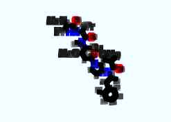 CCC(C)C(C(CC(=O)N1CCC[C@H]1C(OC)C(C)C(=O)NC(C)Cc1ccccc1C)OC)N(C)C(=O)C(NC(=O)C(NC)C(C)C)C(C)C